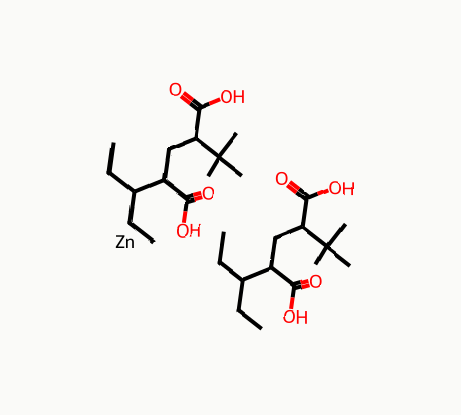 CCC(CC)C(CC(C(=O)O)C(C)(C)C)C(=O)O.CCC(CC)C(CC(C(=O)O)C(C)(C)C)C(=O)O.[Zn]